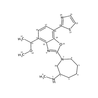 CNC1CCCCN(c2nc3c(C(C)OC)ccc(-c4nccs4)c3o2)C1